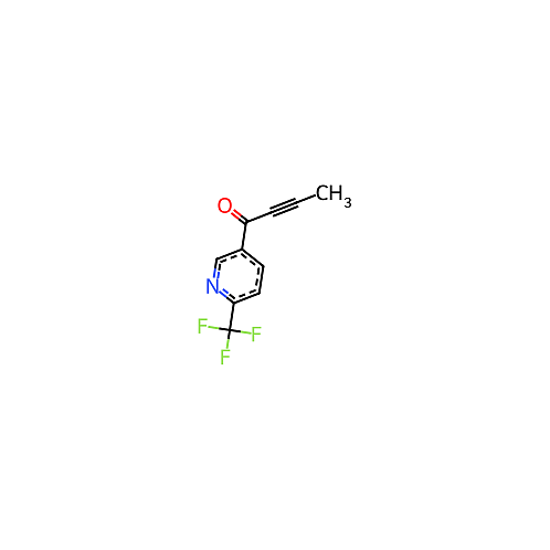 CC#CC(=O)c1ccc(C(F)(F)F)nc1